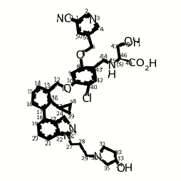 N#Cc1cncc(COc2cc(OCc3cccc(-c4cccc5c4cnn5CCCN4CCC(O)C4)c3C3CC3)c(Cl)cc2CN[C@@H](CO)C(=O)O)c1